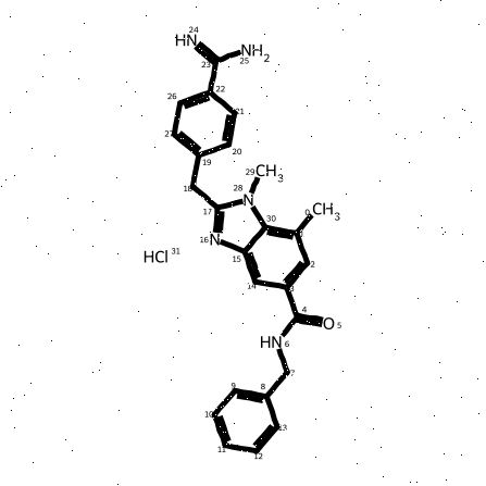 Cc1cc(C(=O)NCc2ccccc2)cc2nc(Cc3ccc(C(=N)N)cc3)n(C)c12.Cl